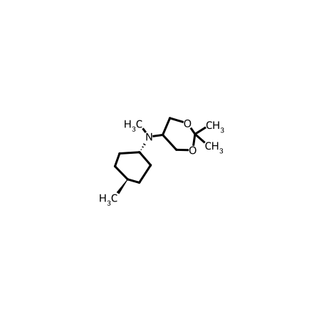 CN(C1COC(C)(C)OC1)[C@H]1CC[C@H](C)CC1